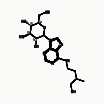 CC(CO)CCNc1ncnc2c1ncn2C1O[C@H](CO)[C@@H](O)[C@H](O)[C@H]1O